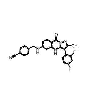 Cc1nn2c(=O)c3ccc(NCc4ccc(C#N)cc4)cc3[nH]c2c1-c1ccc(F)cc1F